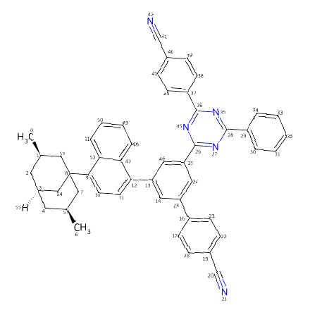 C[C@@H]1C[C@@H]2C[C@H](C)CC(c3ccc(-c4cc(-c5ccc(C#N)cc5)cc(-c5nc(-c6ccccc6)nc(-c6ccc(C#N)cc6)n5)c4)c4ccccc34)(C1)C2